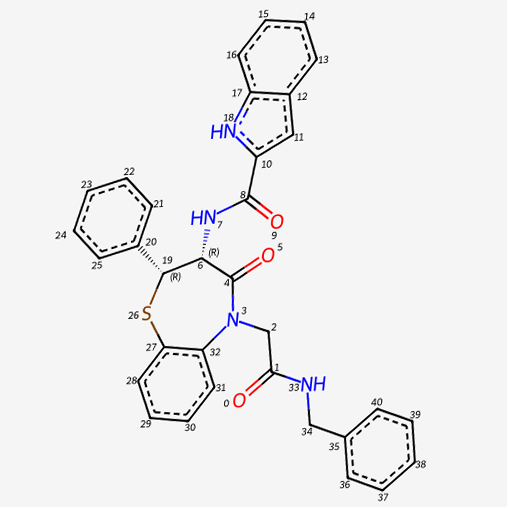 O=C(CN1C(=O)[C@@H](NC(=O)c2cc3ccccc3[nH]2)[C@@H](c2ccccc2)Sc2ccccc21)NCc1ccccc1